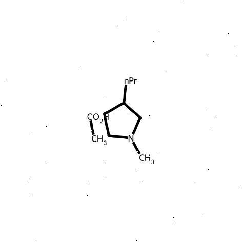 CC(=O)O.CCCC1CCN(C)C1